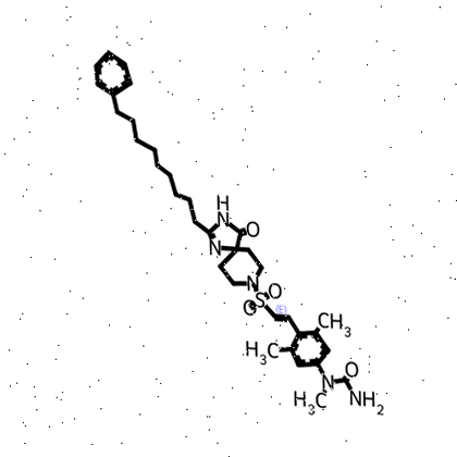 Cc1cc(N(C)C(N)=O)cc(C)c1/C=C/S(=O)(=O)N1CCC2(CC1)N=C(CCCCCCCCCc1ccccc1)NC2=O